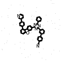 N#Cc1ccc(-c2cccc(-c3nc(-c4ccccc4)nc(-c4ccc5c(c4)oc4cccc(-c6ccc(-c7cccnc7)cc6)c45)n3)c2)cc1